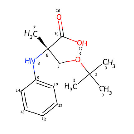 CC(C)(C)OC[C@](C)(Nc1ccccc1)C(=O)O